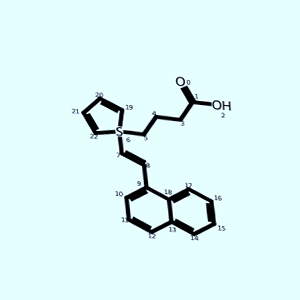 O=C(O)CCCS1(C=Cc2cccc3ccccc23)C=CC=C1